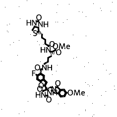 COC(=O)[C@H](CCCCNC(=O)c1cc2cc([C@]3(CN4Cc5ccc(OC)cc5C4=O)NC(=O)NC3=O)oc2cc1F)NC(=O)CCCC[C@@H]1SCC2NC(=O)NC21